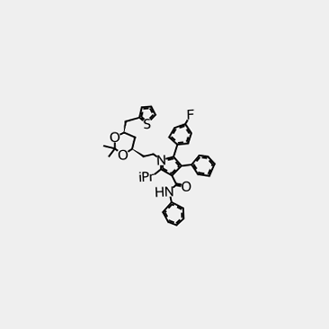 CC(C)c1c(C(=O)Nc2ccccc2)c(-c2ccccc2)c(-c2ccc(F)cc2)n1CC[C@@H]1C[C@H](Cc2cccs2)OC(C)(C)O1